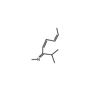 C\C=C/C=C\C(=N/C)C(C)C